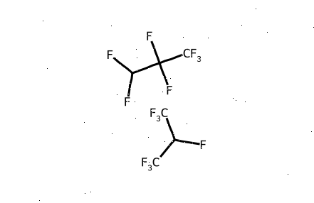 FC(C(F)(F)F)C(F)(F)F.FC(F)C(F)(F)C(F)(F)F